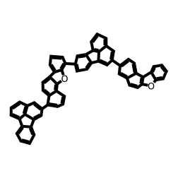 c1ccc2c(c1)-c1cccc3cc(-c4cccc5c4ccc4c6cccc(-c7ccc8c(c7)-c7cccc9cc(-c%10ccc%11c(ccc%12oc%13ccccc%13c%12%11)c%10)cc-8c79)c6oc54)cc-2c13